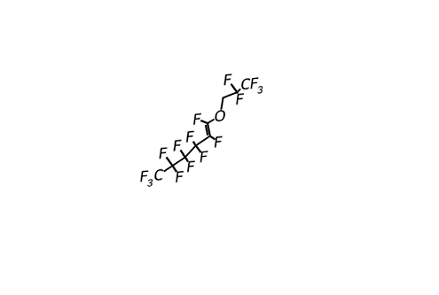 FC(OCC(F)(F)C(F)(F)F)=C(F)C(F)(F)C(F)(F)C(F)(F)C(F)(F)F